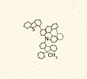 CC1(c2ccccc2)c2ccccc2-c2c(N(c3ccc(-c4cccc5c4sc4ccccc45)cc3)c3ccccc3-c3cccc4cccc(C5CCCCC5)c34)cccc21